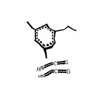 CCc1cc(C)cc(C)c1.N=C=O.N=C=O